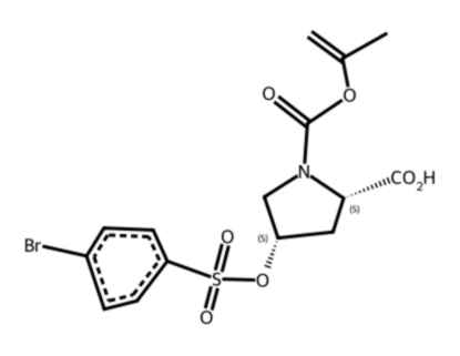 C=C(C)OC(=O)N1C[C@@H](OS(=O)(=O)c2ccc(Br)cc2)C[C@H]1C(=O)O